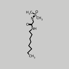 CCCCCCCCNC(=O)CN=S(C)(C)=O